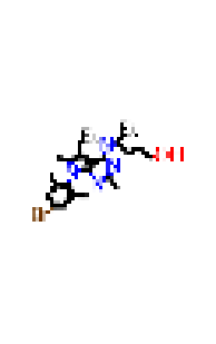 CCC(CCCO)N(CC)c1nc(C)nc2c1c(C)c(C)n2-c1c(C)cc(Br)cc1C